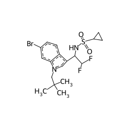 CC(C)(C)Cn1cc(C(NS(=O)(=O)C2CC2)C(F)F)c2ccc(Br)cc21